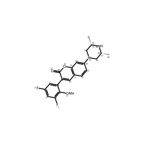 COc1c(F)cc(F)cc1-c1cc2ccc(N3C[C@@H](C)N[C@@H](C)C3)cc2oc1=O